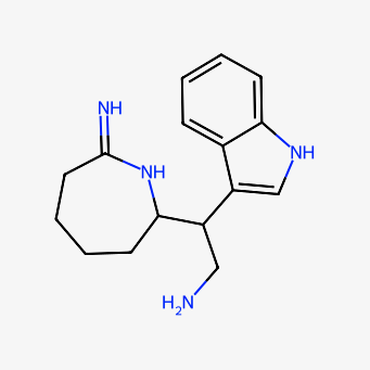 N=C1CCCCC(C(CN)c2c[nH]c3ccccc23)N1